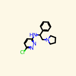 Clc1ccc(NC(CN2CCCC2)c2ccccc2)nn1